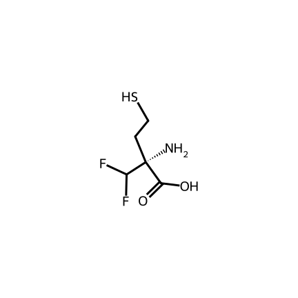 N[C@](CCS)(C(=O)O)C(F)F